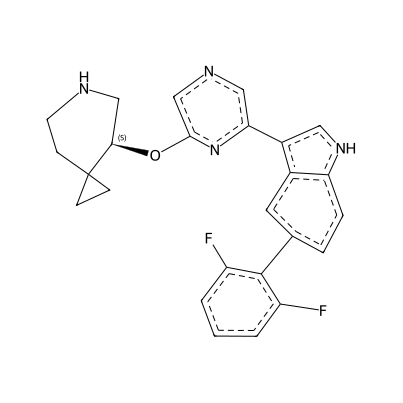 Fc1cccc(F)c1-c1ccc2[nH]cc(-c3cncc(O[C@@H]4CNCCC45CC5)n3)c2c1